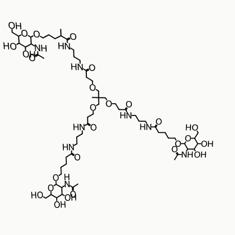 CC(=O)NC1C(OCCCCC(=O)NCCCNC(=O)CCOCC(C)(COCCC(=O)NCCCNC(=O)CCCCOC2OC(CO)C(O)C(O)C2NC(C)=O)COCCC(=O)NCCCNC(=O)C(C)CCCOC2OC(CO)C(O)C(O)C2NC(C)=O)OC(CO)C(O)C1O